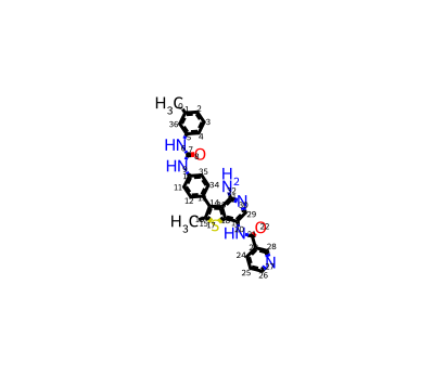 Cc1cccc(NC(=O)Nc2ccc(-c3c(C)sc4c(NC(=O)c5cccnc5)cnc(N)c34)cc2)c1